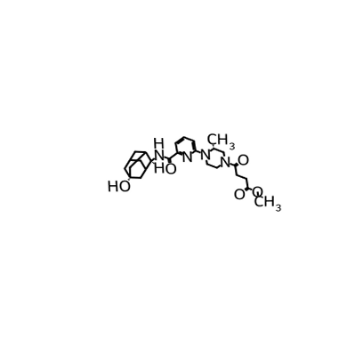 COC(=O)CCC(=O)N1CCN(c2cccc(C(=O)N[C@H]3C4CC5CC3C[C@](O)(C5)C4)n2)[C@H](C)C1